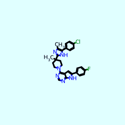 Cc1nc(C2(C)CCN(c3ncnc4[nH]c(-c5ccc(F)cc5)cc34)CC2)[nH]c1-c1ccc(Cl)cc1